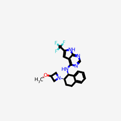 COC1CN([C@H]2CCc3ccccc3[C@@H]2Nc2ncnc3[nH]c(C(F)(F)F)cc23)C1